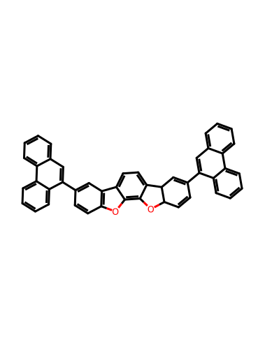 C1=CC2Oc3c(ccc4c3oc3ccc(-c5cc6ccccc6c6ccccc56)cc34)C2C=C1c1cc2ccccc2c2ccccc12